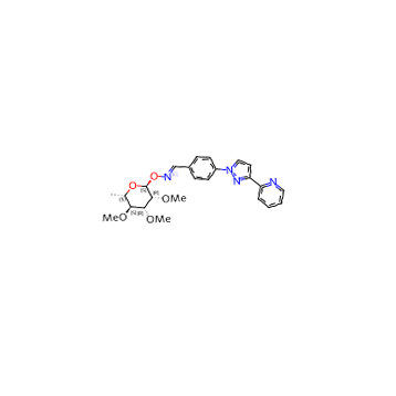 CO[C@@H]1[C@@H](OC)[C@H](C)O[C@@H](O/N=C/c2ccc(-n3ccc(-c4ccccn4)n3)cc2)[C@@H]1OC